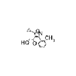 Cc1cccc2c1-c1noc(C3CC3)c1C(CO)O2